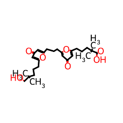 CC(C)(CO)CCCc1cc(=O)cc(CCCc2cc(=O)cc(CCCC(C)(C)C(=O)O)o2)o1